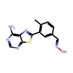 Cc1ccc(C=NO)cc1-c1nc2c(N)ncnc2s1